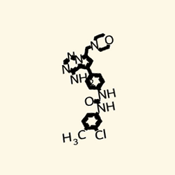 Cc1ccc(NC(=O)Nc2ccc(-c3cc(CN4CCOCC4)n4ncnc(N)c34)cc2)cc1Cl